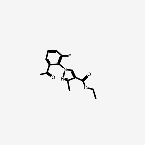 CCOC(=O)c1cn(-c2c(F)cccc2C(C)=O)nc1C